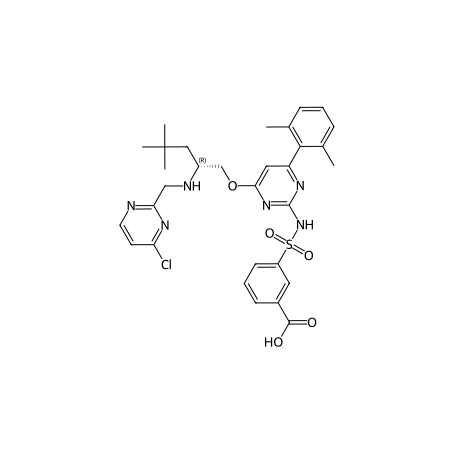 Cc1cccc(C)c1-c1cc(OC[C@@H](CC(C)(C)C)NCc2nccc(Cl)n2)nc(NS(=O)(=O)c2cccc(C(=O)O)c2)n1